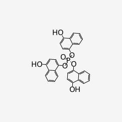 O=P(Oc1ccc(O)c2ccccc12)(Oc1ccc(O)c2ccccc12)Oc1ccc(O)c2ccccc12